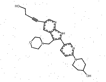 OCCC#Cc1cnc2[nH]c(-c3ccc(N4CCC(O)CC4)nc3)c(CN3CCOCC3)c2c1